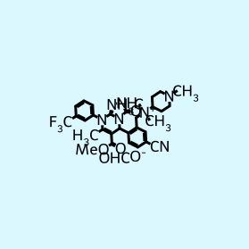 COC(=O)C1=C(C)N(c2cccc(C(F)(F)F)c2)c2n[nH]c(=O)n2C1c1ccc(C#N)cc1C[N+](C)(C)C1CCN(C)CC1.O=C[O-]